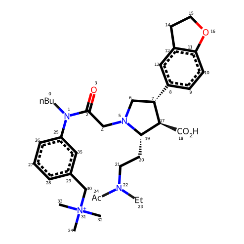 CCCCN(C(=O)CN1C[C@H](c2ccc3c(c2)CCO3)[C@@H](C(=O)O)[C@@H]1CCN(CC)C(C)=O)c1cccc(C[N+](C)(C)C)c1